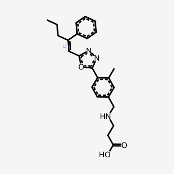 CCC/C(=C/c1nnc(-c2ccc(CNCCC(=O)O)cc2C)o1)c1ccccc1